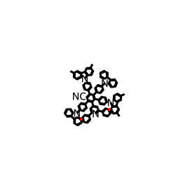 Cc1ccc2c(c1)c1cc(C)ccc1n2-c1ccc(-c2c(C#N)c(-c3ccc(-n4c5ccccc5c5ccccc54)cc3)c(-c3cc(-c4ccccc4)nc(-c4ccccc4)c3)c(-c3ccc(-n4c5ccc(C)cc5c5cc(C)ccc54)cc3)c2-c2ccc(-n3c4ccccc4c4ccccc43)cc2)cc1